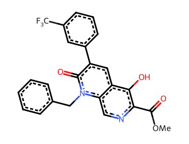 COC(=O)c1ncc2c(cc(-c3cccc(C(F)(F)F)c3)c(=O)n2Cc2ccccc2)c1O